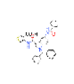 O=C(O)c1cscc1NC(=O)c1cn(C(c2ccccc2)c2ccccc2)c2ccc(NC(=O)C3CCCC3)cc12